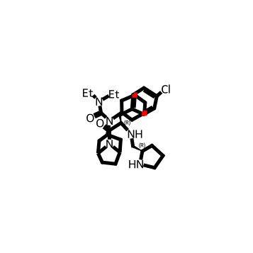 CCN(CC)C(=O)N(C1CCCCC1)C1CC2CCC(C1)N2C(=O)[C@@H](Cc1ccc(Cl)cc1)NC[C@H]1CCCN1